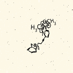 CS(=O)(=O)N(c1cccc(C#CCCn2nc3ccccc3n2)n1)S(C)(=O)=O